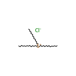 CCCCCCCCCCCCCC[S+](CCCCCCCCCCCCCC)CCCCCCCCCCCCCC.[Cl-]